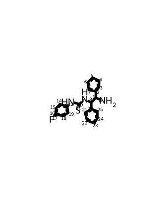 NC(c1ccccc1)C(NC(=S)Nc1ccc(F)cc1)c1ccccc1